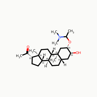 CC(=O)[C@H]1CC[C@H]2[C@@H]3CC[C@H]4C[C@H](O)[C@@H](OC(C)N(C)C)C[C@]4(C)[C@H]3CC[C@]12C